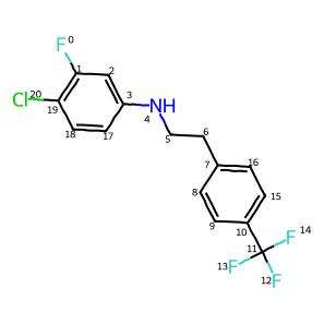 Fc1cc(NCCc2ccc(C(F)(F)F)cc2)ccc1Cl